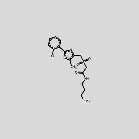 COCCCNC(=O)CS(=O)(=O)Cc1nc(-c2ccccc2Cl)oc1C